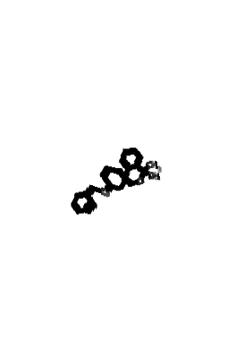 CC1(O)OCC2(CCCC(OCc3ccccc3)C2)c2ccccc21